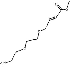 COC(=O)/C=C/COCCOCCN